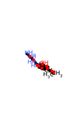 CC(C)CCCCC1CCC2C3CC(O)[C@H]4C[C@@H](NCCCNCCCCNCCCN)CCC4(C)C3CCC12C